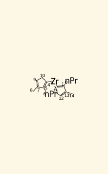 CCCC1=[C]([Zr][C]2=C(CCC)C(C)=CC2)CC=C1C